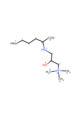 CCCCCCCCCCCCC(NCC(O)C[N+](C)(C)C)C(=O)[O-]